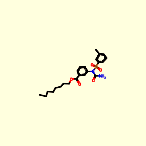 CCCCCCCCOC(=O)c1cccc(N(C(N)=O)S(=O)(=O)c2cccc(C)c2)c1